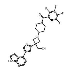 N#CCC1(n2cc(-c3ncnc4[nH]ccc34)cn2)CN(C2CCN(C(=O)c3cc(F)c(F)c(F)c3F)CC2)C1